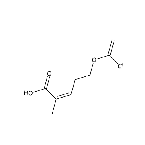 C=C(Cl)OCCC=C(C)C(=O)O